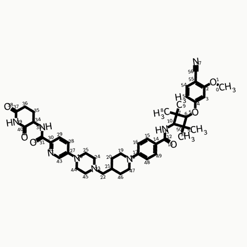 COc1cc(OC2C(C)(C)C(NC(=O)c3ccc(N4CCC(CN5CCN(c6ccc(C(=O)NC7CCC(=O)NC7=O)nc6)CC5)CC4)cc3)C2(C)C)ccc1C#N